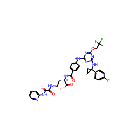 O=C(NCC[C@H](NC(=O)c1ccc(Nc2nc(NC3(c4ccc(Cl)cc4)CC3)nc(OCC(F)(F)F)n2)cc1)C(=O)O)C(=O)Nc1ccccn1